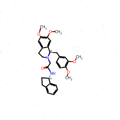 COc1ccc(C[C@@H]2c3cc(OC)c(OC)cc3CCN2CC(=O)N[C@H]2CCc3ccccc32)cc1OC